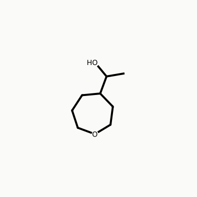 CC(O)C1CCCOCC1